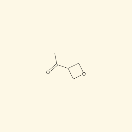 CC(=O)C1COC1